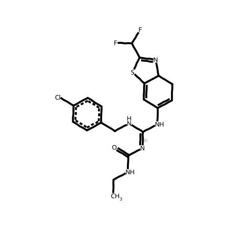 CCNC(=O)/N=C(\NCc1ccc(Cl)cc1)NC1=CCC2N=C(C(F)F)SC2=C1